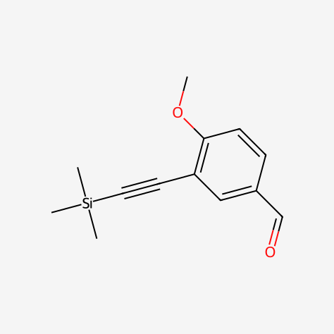 COc1ccc(C=O)cc1C#C[Si](C)(C)C